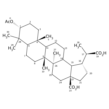 CC(=O)O[C@@H]1CC[C@@]2(C)C(CC[C@]3(C)C2CCC2C4[C@H]([C@@H](C)C(=O)O)CC[C@]4(C(=O)O)CC[C@]23C)C1(C)C